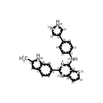 Cc1cc2ccc(-c3nc(Nc4ccc(-c5cn[nH]c5)cc4)c4sccc4n3)cc2[nH]1